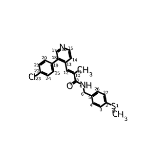 CSc1ccc(CNC(=O)/C(C)=C/c2ccncc2-c2ccc(Cl)cc2)cc1